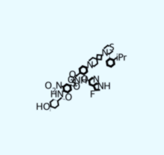 CC(C)c1ccccc1[C@H]1CSCCN1C1CC2(CCN(c3ccc(C(=O)NS(=O)(=O)c4cc5c(c([N+](=O)[O-])c4)N[C@@H]([C@H]4CC[C@](C)(O)CC4)CO5)c(Oc4cnc5[nH]cc(F)c5c4)c3)CC2)C1